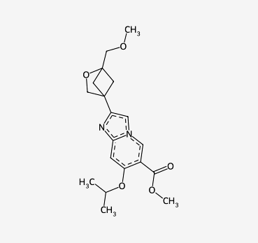 COCC12CC(c3cn4cc(C(=O)OC)c(OC(C)C)cc4n3)(CO1)C2